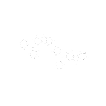 c1ccc(N(c2ccc(-c3ccc4sc5ccc(N(c6ccccc6)c6ccccc6)cc5c4c3)cc2)c2ccc3c(c2)sc2ccccc23)cc1